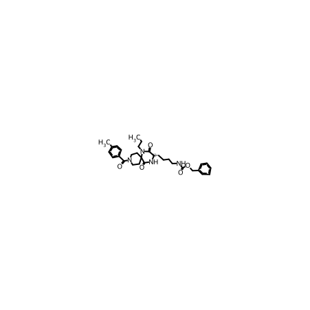 CCCN1C(=O)[C@H](CCCCNC(=O)OCc2ccccc2)NC(=O)C12CCN(C(=O)c1ccc(C)cc1)CC2